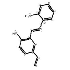 C=Cc1ccc(O)c(C=Nc2ccccc2N)c1